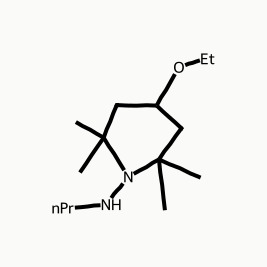 CCCNN1C(C)(C)CC(OCC)CC1(C)C